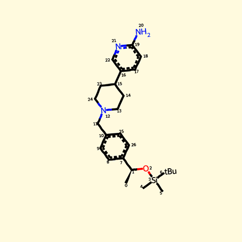 C[C@H](O[Si](C)(C)C(C)(C)C)c1ccc(CN2CCC(c3ccc(N)nc3)CC2)cc1